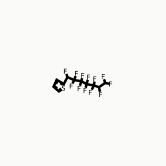 FC(F)C(F)C(F)(F)C(F)(F)C(F)(F)C(F)(F)C(F)c1cccs1